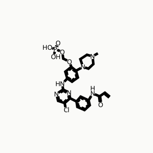 C=CC(=O)Nc1cccc(-c2nc(Nc3ccc(N4CCN(C)CC4)c(OCOP(=O)(O)O)c3)ncc2Cl)c1